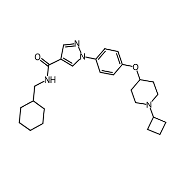 O=C(NCC1CCCCC1)c1cnn(-c2ccc(OC3CCN(C4CCC4)CC3)cc2)c1